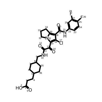 O=C(O)CCC1CCC(CNC(=O)C(=O)c2c(Cl)c(C(=O)Nc3ccc(F)c(F)c3)c3n2CCC3)CC1